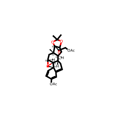 CC(=O)OCC(=O)[C@@]12OC(C)(C)OC1C[C@H]1[C@@H]3CC=C4C=C(OC(C)=O)C=C[C@]4(C)[C@@]34O[C@H]4C[C@@]12C